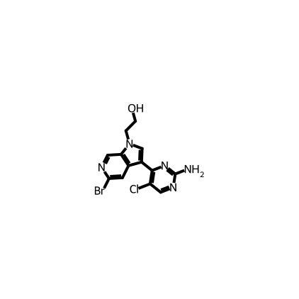 Nc1ncc(Cl)c(-c2cn(CCO)c3cnc(Br)cc23)n1